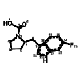 O=C(O)N1CCCC1Cc1c[nH]c2cc(F)ccc12